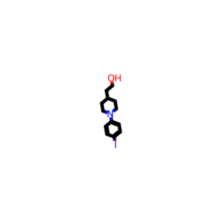 OCCC1CCN(c2ccc(I)cc2)CC1